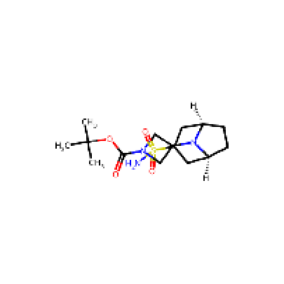 CC(C)(C)OC(=O)N1CC(N2[C@@H]3CC[C@H]2CC(S(N)(=O)=O)C3)C1